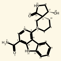 NC(=O)c1cnc(N2CCC[C@]3(C2)C(=O)NC[C@@H]3O)c2c1[nH]c1ccccc12